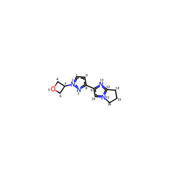 c1cn(C2COC2)nc1-c1cn2c(n1)CCC2